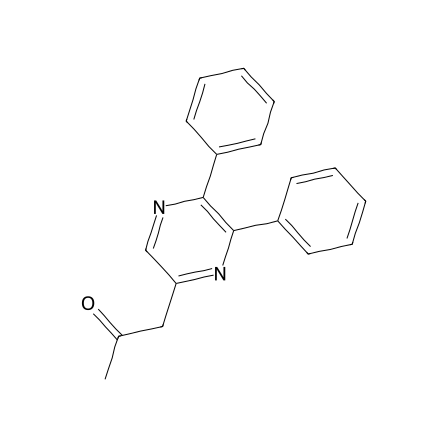 CC(=O)Cc1cnc(-c2ccccc2)c(-c2ccccc2)n1